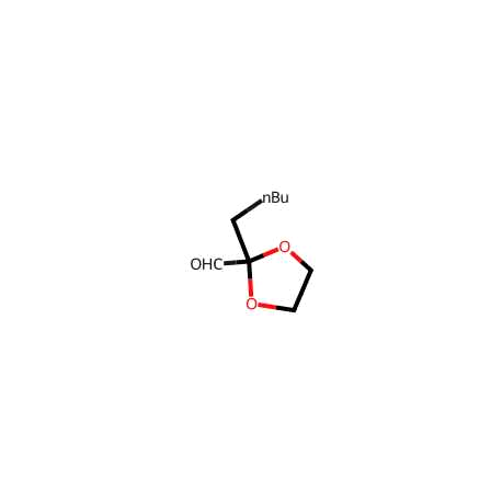 CCCCCC1(C=O)OCCO1